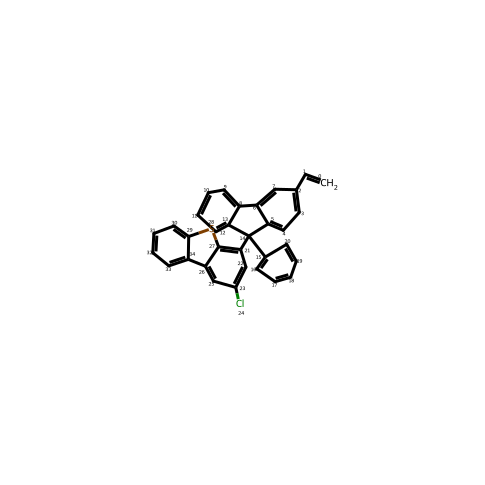 C=Cc1ccc2c(c1)-c1ccccc1C2(c1ccccc1)c1cc(Cl)cc2c1sc1ccccc12